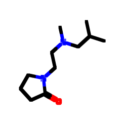 CC(C)CN(C)CCN1CCCC1=O